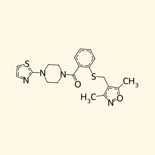 Cc1noc(C)c1CSc1ccccc1C(=O)N1CCN(c2nccs2)CC1